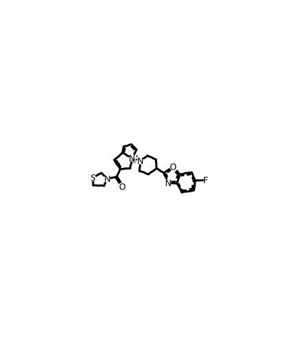 O=C(C1=CC2=CC=C[N@@+]2(N2CCC(c3nc4ccc(F)cc4o3)CC2)C1)N1CCSC1